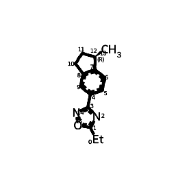 CCc1nc(-c2ccc3c(c2)CC[C@H]3C)no1